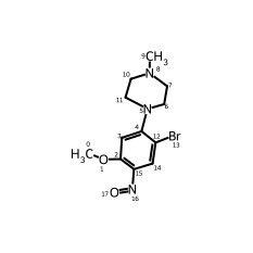 COc1cc(N2CCN(C)CC2)c(Br)cc1N=O